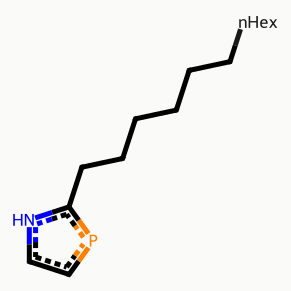 CCCCCCCCCCCCc1[nH]ccp1